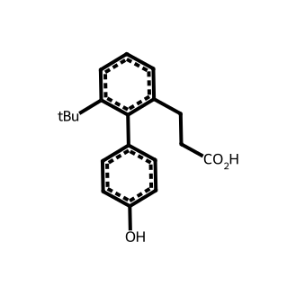 CC(C)(C)c1cccc(CCC(=O)O)c1-c1ccc(O)cc1